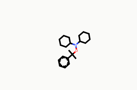 CC(C)(ON(C1CCCCC1)C1CCCCC1)c1ccccc1